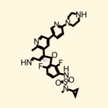 Cc1ncc(-c2ccc(N3CCNCC3)nc2)cc1/C(=C\C=N)C(=O)c1c(F)ccc(NS(=O)(=O)N(C)C2CC2)c1F